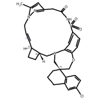 Cc1cc2nn1C/C=C/[C@@H]1CC[C@H]1CN1C[C@@]3(CCCc4cc(Cl)ccc43)COc3ccc(cc31)S(=O)(=O)NC(=O)C2